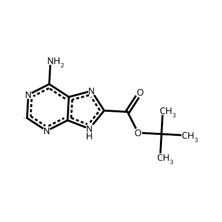 CC(C)(C)OC(=O)c1nc2c(N)n[c]nc2[nH]1